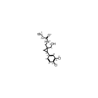 CC(C)(C)OC(=O)NCC1(CO)CC1c1ccc(Cl)c(Cl)c1